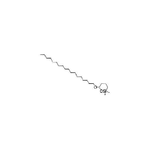 CCCCCCCCCCCCCCCCCCOC1CCC[Si](C)(C)O1